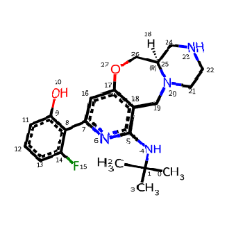 CC(C)(C)Nc1nc(-c2c(O)cccc2F)cc2c1CN1CCNC[C@@H]1CO2